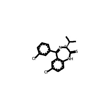 CC(C)[C@@H]1N=C(c2cccc(Cl)c2)c2cc(Cl)ccc2NC1=S